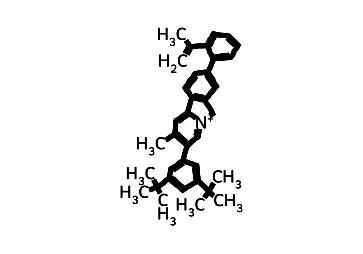 C=C(C)c1ccccc1-c1ccc2c(c1)C[n+]1cc(-c3cc(C(C)(C)C)cc(C(C)(C)C)c3)c(C)cc1-2